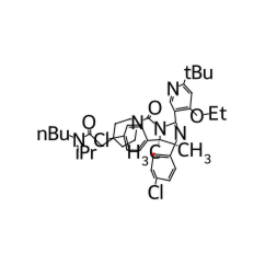 CCCCN(C(=O)CC1CCN(C(=O)N2C(c3cnc(C(C)(C)C)cc3OCC)=N[C@@](C)(c3ccc(Cl)cc3)[C@@]2(C)c2ccc(Cl)cc2)CC1)C(C)C